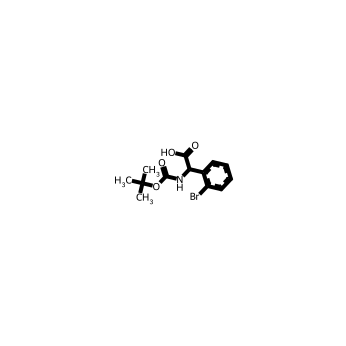 CC(C)(C)OC(=O)NC(C(=O)O)c1ccccc1Br